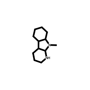 CN1C2CCCCC2C2CCCNC21